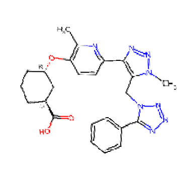 Cc1nc(-c2nnn(C)c2Cn2nnnc2-c2ccccc2)ccc1O[C@H]1CCC[C@H](C(=O)O)C1